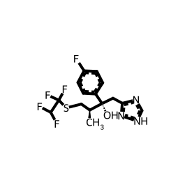 C[C@@H](CSC(F)(F)C(F)F)[C@](O)(Cc1nc[nH]n1)c1ccc(F)cc1